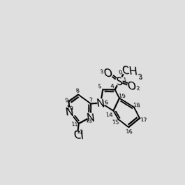 CS(=O)(=O)c1cn(-c2ccnc(Cl)n2)c2ccccc12